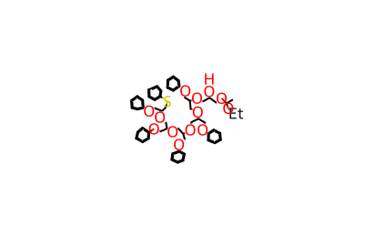 CCOC(C)OCC(O)COC(COc1ccccc1)COC(COc1ccccc1)COC(COc1ccccc1)COC(COc1ccccc1)COC(COc1ccccc1)CSc1ccccc1